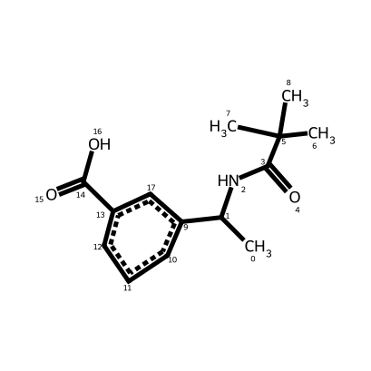 CC(NC(=O)C(C)(C)C)c1cccc(C(=O)O)c1